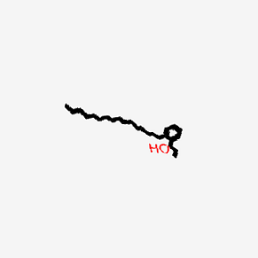 CCCCCCCCCCCCCCCCc1ccccc1C(O)CC